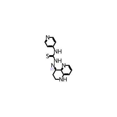 S=C(N/N=C1/CCNc2cccnc21)Nc1ccncc1